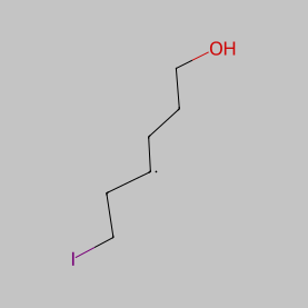 OCCC[CH]CCI